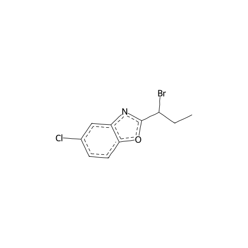 CCC(Br)c1nc2cc(Cl)ccc2o1